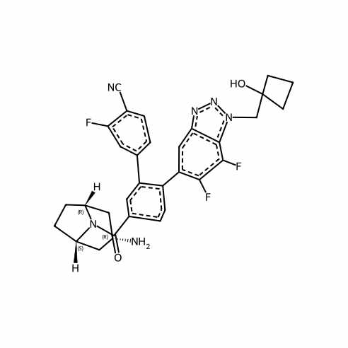 N#Cc1ccc(-c2cc(C(=O)N3[C@@H]4CC[C@H]3C[C@@H](N)C4)ccc2-c2cc3nnn(CC4(O)CCC4)c3c(F)c2F)cc1F